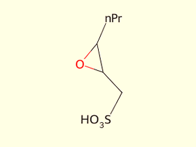 CCCC1OC1CS(=O)(=O)O